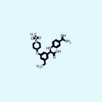 CCc1cc(OC2CCN(S(C)(=O)=O)CC2)cc(C(Nc2ccc(C(=N)N)cc2)C(=O)O)c1